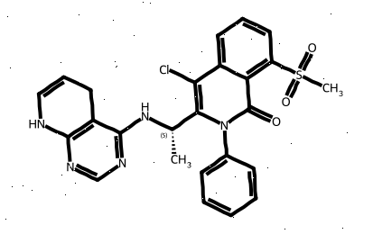 C[C@H](Nc1ncnc2c1CC=CN2)c1c(Cl)c2cccc(S(C)(=O)=O)c2c(=O)n1-c1ccccc1